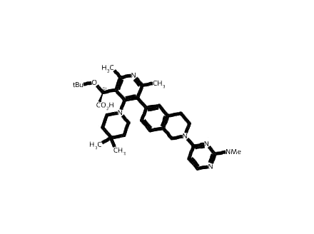 CNc1nccc(N2CCc3cc(-c4c(C)nc(C)c([C@H](OC(C)(C)C)C(=O)O)c4N4CCC(C)(C)CC4)ccc3C2)n1